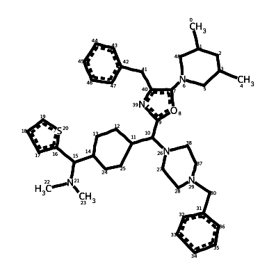 CC1CC(C)CN(c2oc(C(C3CCC(C(c4cccs4)N(C)C)CC3)N3CCN(Cc4ccccc4)CC3)nc2Cc2ccccc2)C1